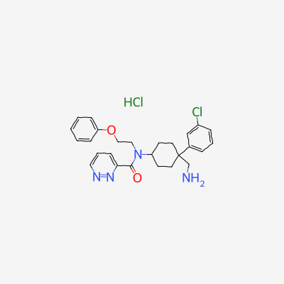 Cl.NCC1(c2cccc(Cl)c2)CCC(N(CCOc2ccccc2)C(=O)c2cccnn2)CC1